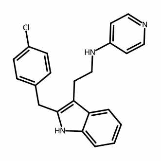 Clc1ccc(Cc2[nH]c3ccccc3c2CCNc2ccncc2)cc1